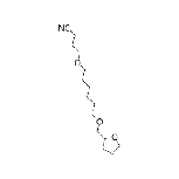 N#CCCCOCCCCCCOCC1CCCO1